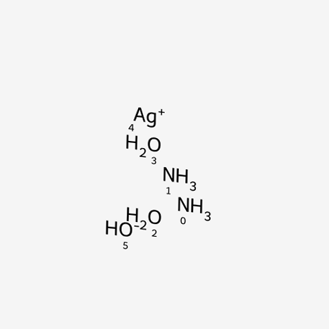 N.N.O.O.[Ag+].[OH-]